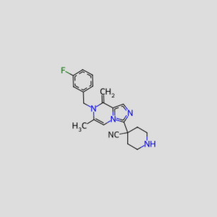 C=C1c2cnc(C3(C#N)CCNCC3)n2C=C(C)N1Cc1cccc(F)c1